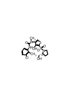 Cc1c(Cl)cccc1NC(=O)N(C)c1csc(S(=O)(=O)N2CCC[C@@H]2CO)c1O